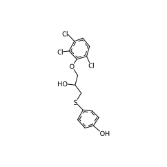 Oc1ccc(SCC(O)COc2c(Cl)ccc(Cl)c2Cl)cc1